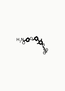 Cc1cc(OCCCS(C)(=O)=O)cc(C)c1-c1cccc(COc2ccc(C(N)=O)cc2)c1